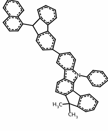 CC1(C)c2ccccc2-c2c1ccc1c3cc(-c4ccc5c(c4)-c4ccccc4C5c4cccc5ccccc45)ccc3n(-c3ccccc3)c21